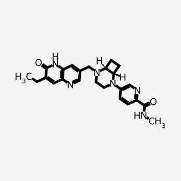 CCc1cc2ncc(CN3CCN(c4ccc(C(=O)NC)nc4)[C@H]4CC[C@@H]43)cc2[nH]c1=O